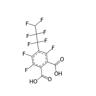 O=C(O)c1c(F)c(F)c(C(F)(F)C(F)(F)C(F)F)c(F)c1C(=O)O